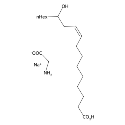 CCCCCCC(O)C/C=C\CCCCCCCC(=O)O.NCC(=O)[O-].[Na+]